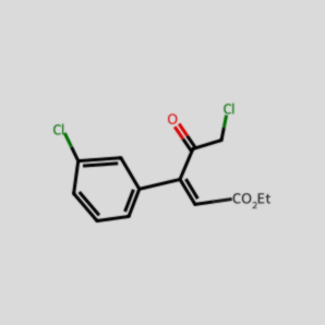 CCOC(=O)C=C(C(=O)CCl)c1cccc(Cl)c1